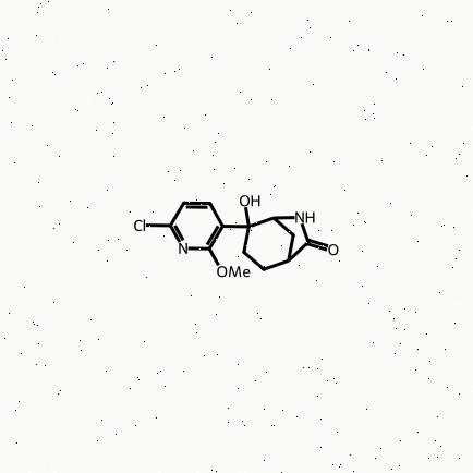 COc1nc(Cl)ccc1C1(O)CCC2CC1NC2=O